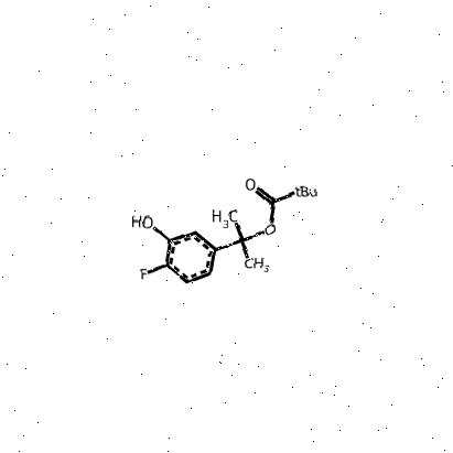 CC(C)(C)C(=O)OC(C)(C)c1ccc(F)c(O)c1